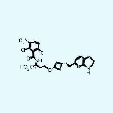 O=C(N[C@@H](CCO[C@H]1C[C@@H](CCc2ccc3c(n2)NCCC3)C1)C(=O)O)c1c(Cl)ccc([N+](=O)[O-])c1Cl